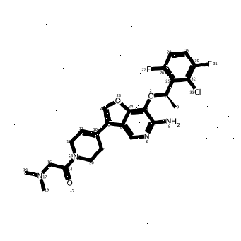 C[C@@H](Oc1c(N)ncc2c(C3=CCN(C(=O)CN(C)C)CC3)coc12)c1c(F)ccc(F)c1Cl